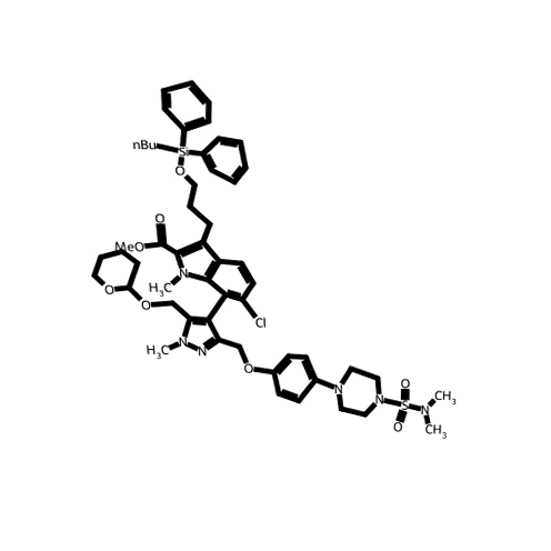 CCCC[Si](OCCCc1c(C(=O)OC)n(C)c2c(-c3c(COc4ccc(N5CCN(S(=O)(=O)N(C)C)CC5)cc4)nn(C)c3COC3CCCCO3)c(Cl)ccc12)(c1ccccc1)c1ccccc1